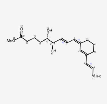 CCCCCC/C=C/C1=CC(=C\C=C\[C@@H](O)[C@@H](O)CCCC(=O)OC)/CCC1